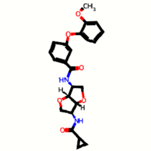 COc1ccccc1Oc1cccc(C(=O)N[C@H]2CO[C@H]3[C@@H]2OC[C@@H]3NC(=O)C2CC2)c1